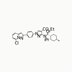 CCOC(=O)c1cn(-c2ccc(-c3cc4cccc(Cl)n4n3)cc2)nc1N(C(=O)[C@H]1CC[C@H](C)CC1)C(C)C